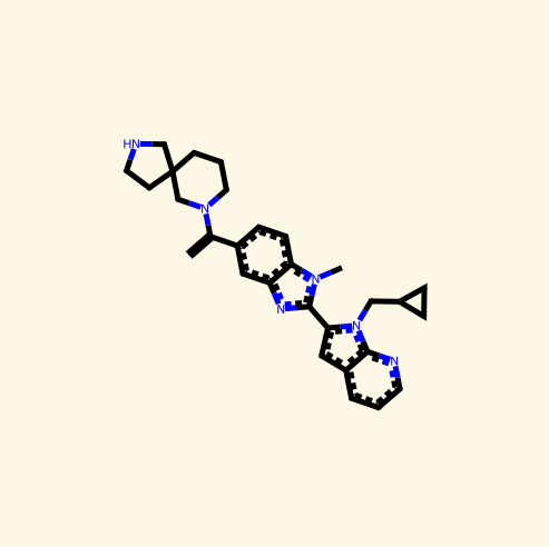 C=C(c1ccc2c(c1)nc(-c1cc3cccnc3n1CC1CC1)n2C)N1CCCC2(CCNC2)C1